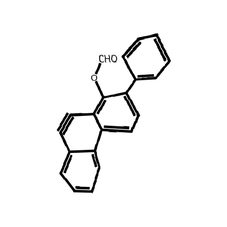 O=COc1c(-c2ccccc2)ccc2c1c#cc1ccccc12